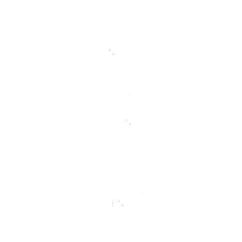 O=C(CCCCNC(=O)c1ccc(N2CCOCC2)cc1)NO